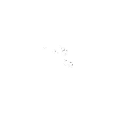 Cc1cc2c(F)c(Oc3ncnc(N)c3C=NOCCCN3CCCC3)ccc2[nH]1